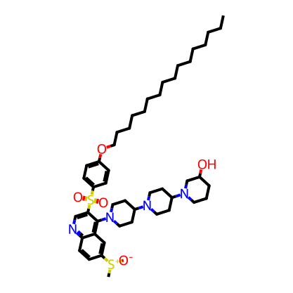 CCCCCCCCCCCCCCCCOc1ccc(S(=O)(=O)c2cnc3ccc([S+](C)[O-])cc3c2N2CCC(N3CCC(N4CCCC(O)C4)CC3)CC2)cc1